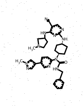 CN1CCC(Nc2nc(N[C@H]3CC[C@H](N(C(=O)NCc4ccccc4)c4ccc(-c5cnn(C)c5)cn4)CC3)ncc2C#N)C1